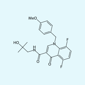 COc1ccc(Cn2cc(C(=O)NCC(C)(C)O)c(=O)c3c(F)ccc(F)c32)cc1